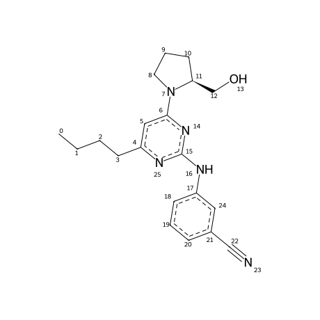 CCCCc1cc(N2CCC[C@H]2CO)nc(Nc2cccc(C#N)c2)n1